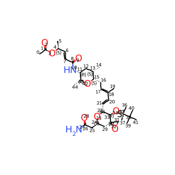 CC(=O)O[C@@H](C)C=CC(=O)N[C@@H]1C[C@H](C)[C@H](CC=C(C)C=C[C@H]2O[C@H](CC(N)=O)C[C@@]3(CO3)[C@@H]2O[Si](C)(C)C(C)(C)C)O[C@@H]1C